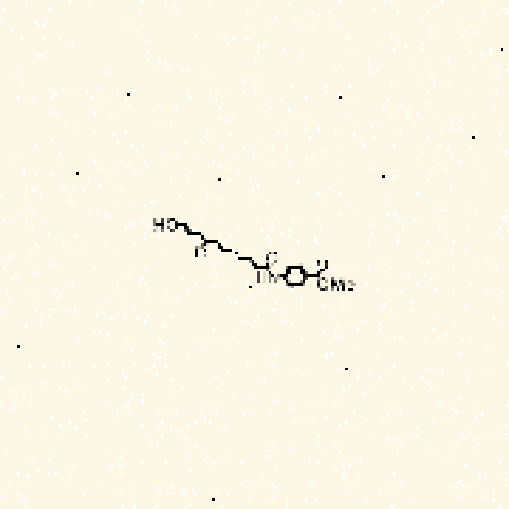 COC(=O)c1ccc(NC(=O)CCCCCCC(=O)C/C=C/O)cc1